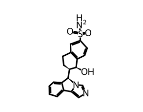 NS(=O)(=O)c1ccc2c(c1)CC[C@H]([C@@H]1c3ccccc3-c3cncn31)[C@@H]2O